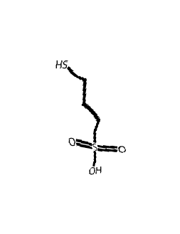 O=S(=O)(O)CCCS